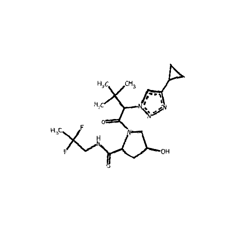 CC(F)(F)CNC(=O)C1CC(O)CN1C(=O)C(n1cc(C2CC2)nn1)C(C)(C)C